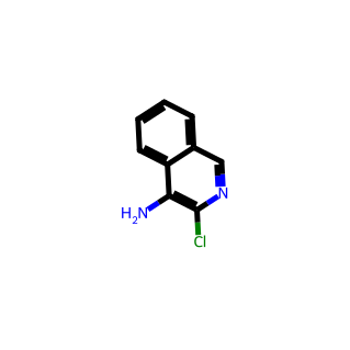 Nc1c(Cl)ncc2ccccc12